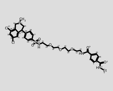 CCNC(=O)c1ccc(C(=O)NCCOCCOCCOCCNS(=O)(=O)c2ccc(C3CN(C)Cc4c(Cl)cc(Cl)cc43)cc2)cc1